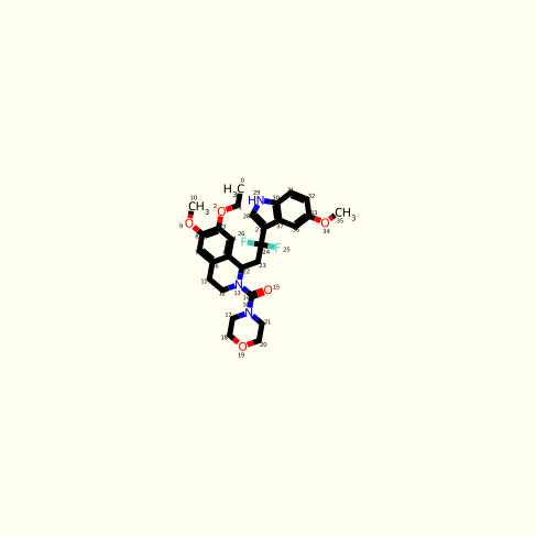 CCOc1cc2c(cc1OC)CCN(C(=O)N1CCOCC1)C2CC(F)(F)c1c[nH]c2ccc(OC)cc12